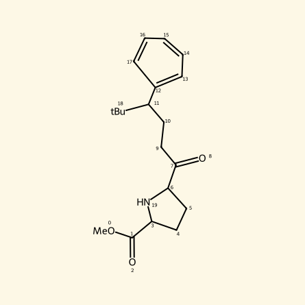 COC(=O)C1CCC(C(=O)CCC(c2ccccc2)C(C)(C)C)N1